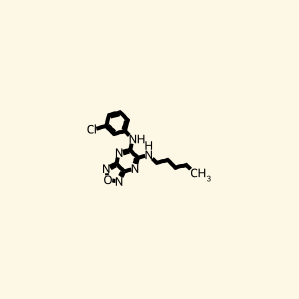 CCCCCNc1nc2nonc2nc1Nc1cccc(Cl)c1